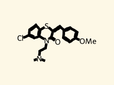 COc1ccc(C=C2Sc3ccc(Cl)cc3N(CCN(C)C)C2=O)cc1